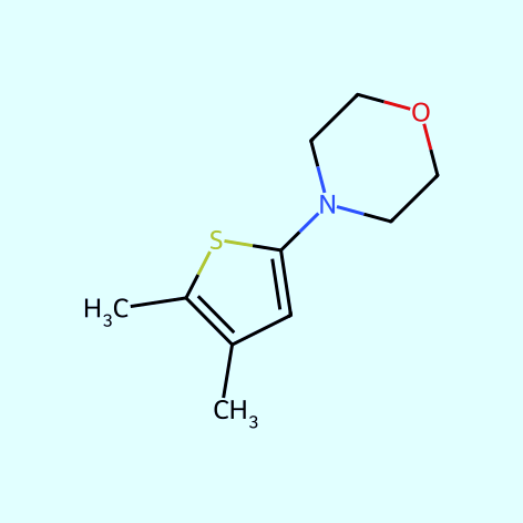 Cc1cc(N2CCOCC2)sc1C